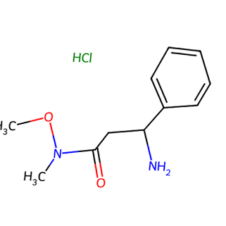 CON(C)C(=O)CC(N)c1ccccc1.Cl